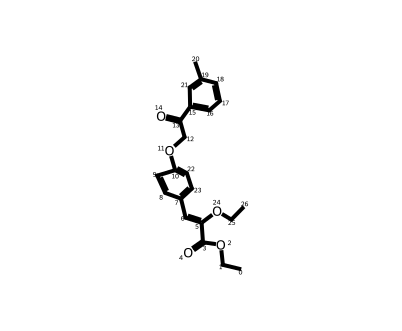 CCOC(=O)/C(=C/c1ccc(OCC(=O)c2cccc(C)c2)cc1)OCC